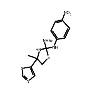 CC(=O)NC1(Nc2ccc([N+](=O)[O-])cc2)NC(C)(c2cncs2)CS1